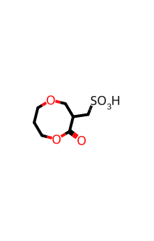 O=C1OCCCOCC1CS(=O)(=O)O